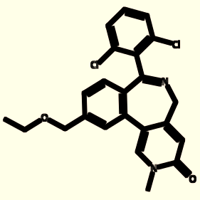 CCOCc1ccc2c(c1)-c1cn(C)c(=O)cc1CN=C2c1c(Cl)cccc1Cl